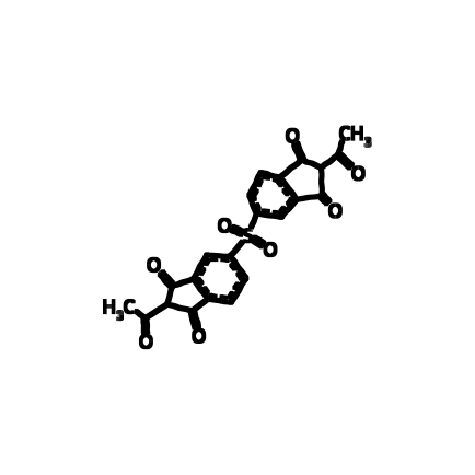 CC(=O)C1C(=O)c2ccc(S(=O)(=O)c3ccc4c(c3)C(=O)C(C(C)=O)C4=O)cc2C1=O